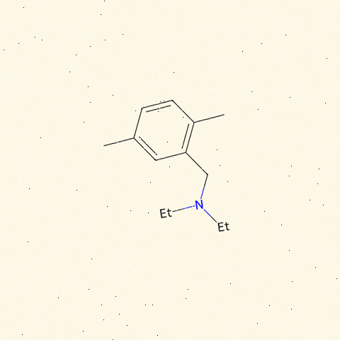 CCN(CC)Cc1cc(C)ccc1C